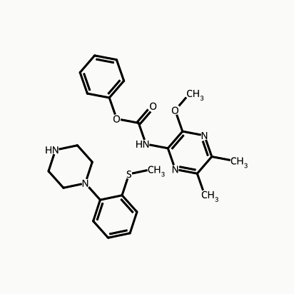 COc1nc(C)c(C)nc1NC(=O)Oc1ccccc1.CSc1ccccc1N1CCNCC1